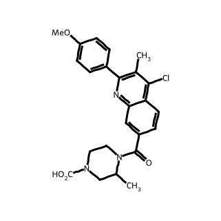 COc1ccc(-c2nc3cc(C(=O)N4CCN(C(=O)O)CC4C)ccc3c(Cl)c2C)cc1